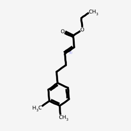 CCOC(=O)/C=C/CCc1ccc(C)c(C)c1